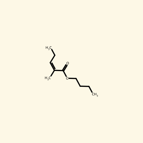 CCC=C(C)C(=O)OCCCC